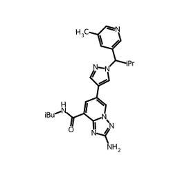 CCC(C)NC(=O)c1cc(-c2cnn(C(c3cncc(C)c3)C(C)C)c2)cn2nc(N)nc12